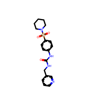 O=C(NCc1cccnc1)Nc1ccc(S(=O)(=O)N2CCCCC2)cc1